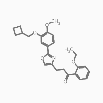 CCOc1ccccc1C(=O)CCc1coc(-c2ccc(OC)c(OCC3CCC3)c2)n1